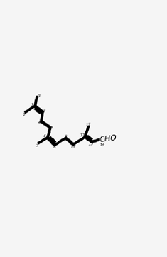 CC(C)=CCCC(C)=CCC/C(C)=C/C=O